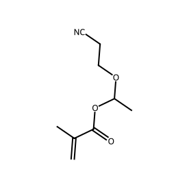 C=C(C)C(=O)OC(C)OCCC#N